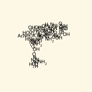 CC(=O)N[C@H]1[C@H]([C@H](O)[C@H](O)CO)OC(C(=O)O)=C[C@@H]1NC(=N)N.NC(=O)c1ncn([C@@H]2O[C@H](CO)[C@@H](O)[C@H]2O)n1.NC12CC3CC(CC(C3)C1)C2.Nc1ccn([C@@H]2O[C@H](CO)[C@@H](O)[C@@H]2O)c(=O)n1.Nc1nc2c(ncn2COCCO)c(=O)[nH]1.Nc1ncnc2c1ncn2[C@@H]1O[C@H](CO)[C@@H](O)[C@@H]1O.O.O.O=c1[nH]c(=O)n(C2C[C@H](O)[C@@H](CO)O2)cc1I